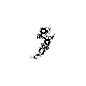 CCOc1ccc(S(=O)(=O)N2CCN(CCO)CC2)cc1-c1nc2c(OC)cccc2c(=O)[nH]1